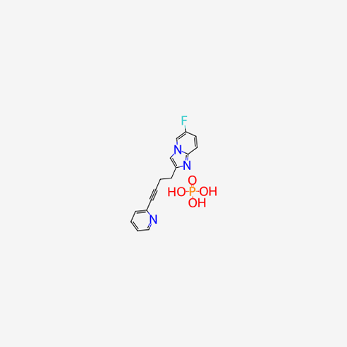 Fc1ccc2nc(CCC#Cc3ccccn3)cn2c1.O=P(O)(O)O